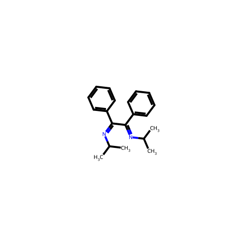 CC(C)N=C(C(=NC(C)C)c1ccccc1)c1ccccc1